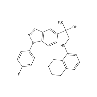 OC(CNc1cccc2c1CCCC2)(c1ccc2c(cnn2-c2ccc(F)cc2)c1)C(F)(F)F